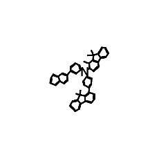 CC1C2=C(C=CC1N(c1ccc(-c3cccc4c3C(C)(C)c3ccccc3-4)cc1)c1cccc(-c3ccc4ccccc4c3)c1)c1ccccc1C2(C)C